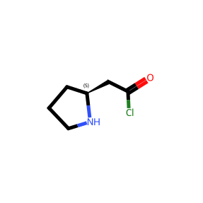 O=C(Cl)C[C@@H]1CCCN1